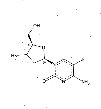 Nc1nc(=O)n([C@H]2CC(S)[C@@H](CO)O2)cc1F